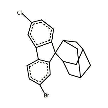 Clc1ccc2c(c1)-c1ccc(Br)cc1C21C2CC3CC(C2)CC1C3